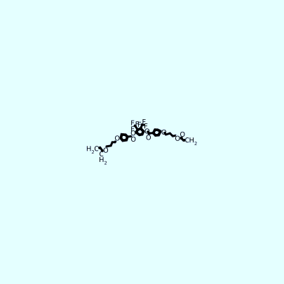 C=CC(=C)OCCCCOc1ccc(C(=O)Oc2ccc(OC(=O)c3ccc(OCCCCOC(=O)C=C)cc3)c(C(F)(F)F)c2C(F)(F)F)cc1